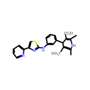 CCOC(=O)C1=C(C)NC(C)=C(C(=O)OCC)C1c1cccc(Nc2nc(-c3ccccn3)cs2)c1